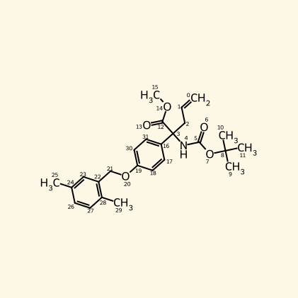 C=CCC(NC(=O)OC(C)(C)C)(C(=O)OC)c1ccc(OCc2cc(C)ccc2C)cc1